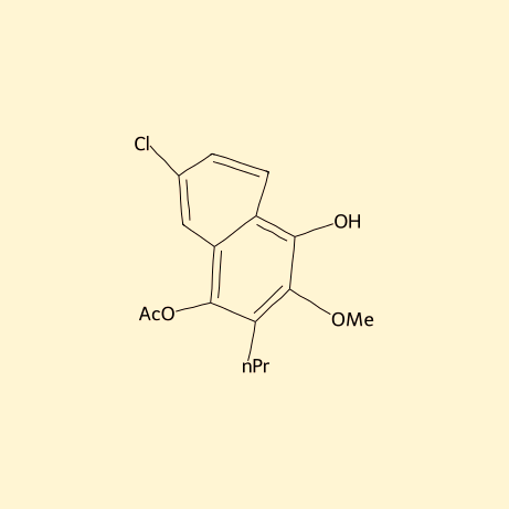 CCCc1c(OC)c(O)c2ccc(Cl)cc2c1OC(C)=O